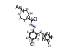 CC(=O)N1CCCN(C(=O)/C=C/c2ccc(Cl)cc2Cn2nnc(C)n2)CC1